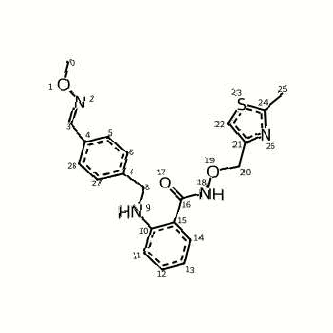 CO/N=C/c1ccc(CNc2ccccc2C(=O)NOCc2csc(C)n2)cc1